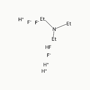 CCN(CC)CC.F.[F-].[F-].[F-].[H+].[H+].[H+]